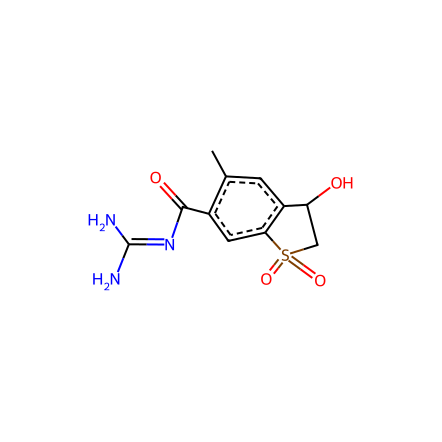 Cc1cc2c(cc1C(=O)N=C(N)N)S(=O)(=O)CC2O